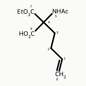 C=CCCC(NC(C)=O)(C(=O)O)C(=O)OCC